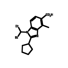 CCC(CC)n1c(C2CCCC2)nc2c(C)c(C(=O)O)ccc21